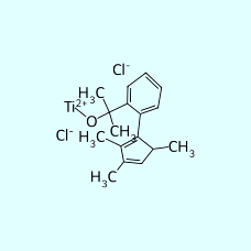 CC1=CC(C)C(c2ccccc2C(C)(C)[O][Ti+2])=C1C.[Cl-].[Cl-]